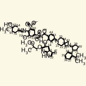 CO[C@@H](C)COc1nc2[nH]cc(F)c2cc1Oc1cc(N2CCC3(CC2)CN([C@H]2CCC[C@H]2c2ccccc2C(C)C)C3)ccc1C(=O)NS(=O)(=O)c1cc2c(c([N+](=O)[O-])c1)N[C@@H]([C@H]1CC[C@](C)(O)CC1)CO2